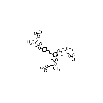 CCC(=O)OCC[C@@H](C)OC(=O)Oc1ccc(/C=C/c2cc(OC(=O)O[C@H](C)CCOC(=O)CC)cc(OC(=O)O[C@H](C)CCOC(=O)CC)c2)cc1